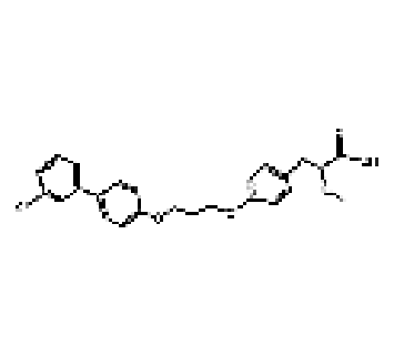 CO[C@@H](Cc1ccc(OCCCOc2ccc(-c3cccc(Cl)c3)cc2)cc1)C(=O)O